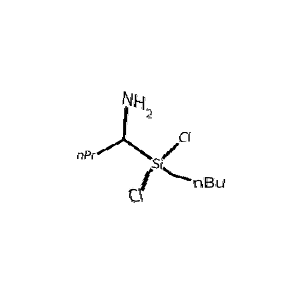 CCCC[Si](Cl)(Cl)C(N)CCC